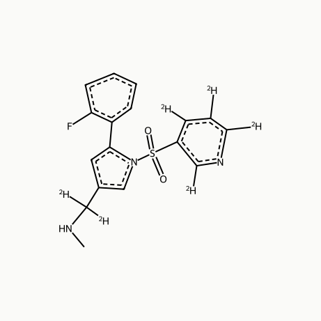 [2H]c1nc([2H])c(S(=O)(=O)n2cc(C([2H])([2H])NC)cc2-c2ccccc2F)c([2H])c1[2H]